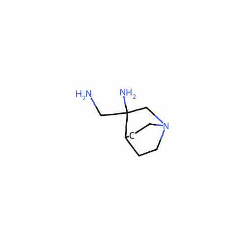 NCC1(N)CN2CCC1CC2